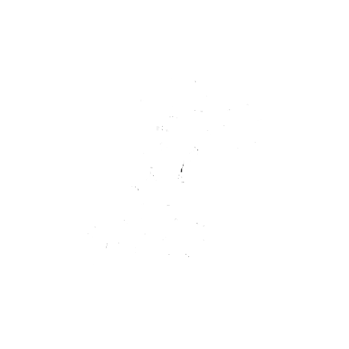 Cc1ncc(-c2sc(C3(C(F)(F)F)CC3)nc2-c2nnc(N[C@@H]3N=C(c4ccccc4)c4cccc(F)c4NC3=O)o2)cn1